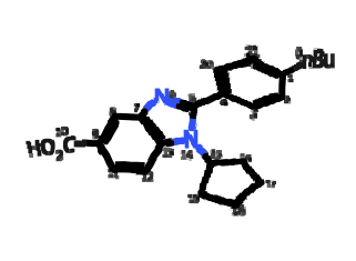 CCCCc1ccc(-c2nc3cc(C(=O)O)ccc3n2C2CCCC2)cc1